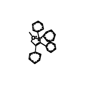 C[O+]1CC(c2ccccc2)=C(c2ccccc2)[B-]1(c1ccccc1)c1ccccc1